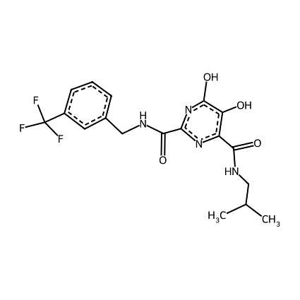 CC(C)CNC(=O)c1nc(C(=O)NCc2cccc(C(F)(F)F)c2)nc(O)c1O